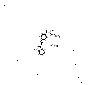 Cl.Cl.NC1CCN(C(=O)c2ccc(C=Cc3n[nH]c4ccccc34)cc2)C1